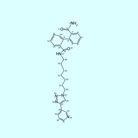 NC(=O)c1ccccc1-c1ccccc1C(=O)NCCCCCCCn1cc(-c2cccnc2)nn1